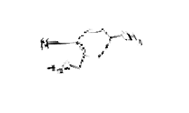 CCC1=C(C#N)C=CC(C)C1